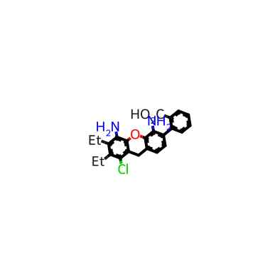 CCc1c(N)c2c(c(Cl)c1CC)Cc1ccc(-c3ccccc3C(=O)O)c(N)c1O2